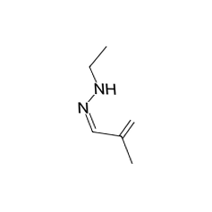 C=C(C)/C=N\NCC